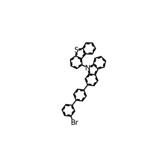 Brc1cccc(-c2ccc(-c3ccc4c5ccccc5n(-c5cccc6sc7ccccc7c56)c4c3)cc2)c1